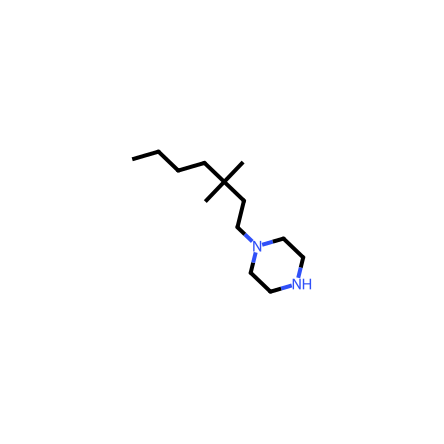 CCCCC(C)(C)CCN1CCNCC1